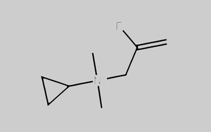 C=C(F)C[N+](C)(C)C1CC1